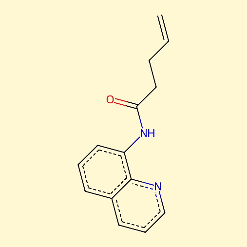 C=CCCC(=O)Nc1cccc2cccnc12